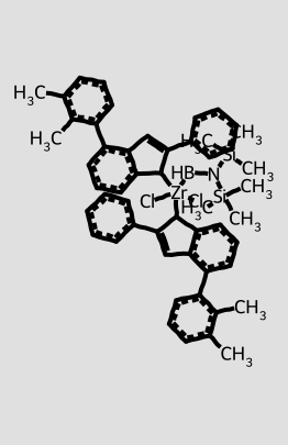 Cc1cccc(-c2cccc3c2C=C(c2ccccc2)[CH]3[Zr]([Cl])([Cl])([BH]N([Si](C)(C)C)[Si](C)(C)C)[CH]2C(c3ccccc3)=Cc3c(-c4cccc(C)c4C)cccc32)c1C